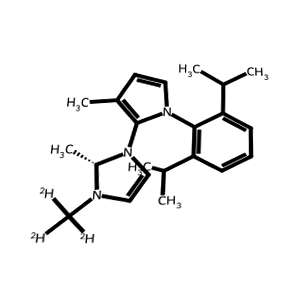 [2H]C([2H])([2H])N1C=CN(c2c(C)ccn2-c2c(C(C)C)cccc2C(C)C)[C@H]1C